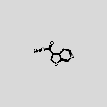 COC(=O)C1CSC2=CN=CCC21